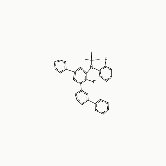 CC(C)(C)N(c1ccccc1F)c1cc(-c2ccccc2)cc(-c2cccc(-c3ccccc3)c2)c1F